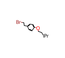 CC(C)CCOc1ccc(CCBr)cc1